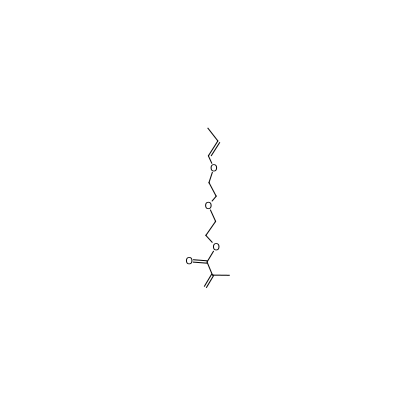 C=C(C)C(=O)OCCOCCOC=CC